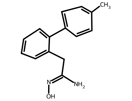 Cc1ccc(-c2ccccc2CC(N)=NO)cc1